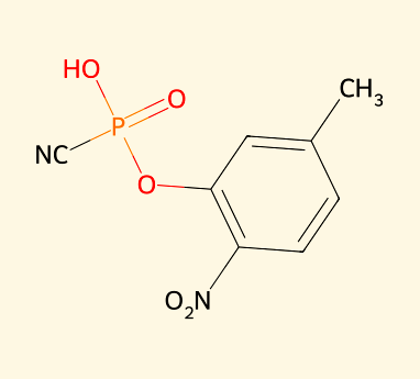 Cc1ccc([N+](=O)[O-])c(OP(=O)(O)C#N)c1